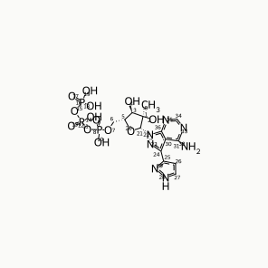 C[C@@]1(O)[C@H](O)[C@@H](COP(=O)(O)OP(=O)(O)OP(=O)(O)O)O[C@H]1n1nc(-c2cc[nH]n2)c2c(N)ncnc21